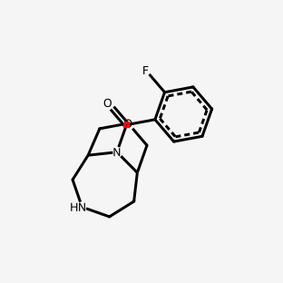 O=C(c1ccccc1F)N1C2CCNCC1COC2